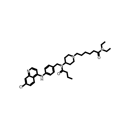 CCCC(=O)N(Cc1ccc(Nc2ccnc3cc(Cl)ccc23)cc1)C1CCN(CCCCCC(=O)N(CC)CC)CC1